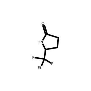 CCC(F)(F)C1CCC(=O)N1